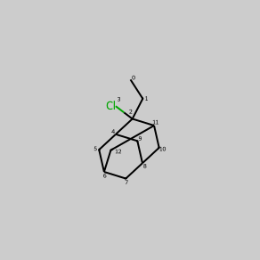 CCC1(Cl)C2CC3CC(C2)CC1C3